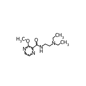 CCN(CC)CCNC(=O)c1nccnc1OC